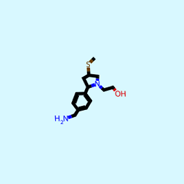 CSC1CC(c2ccc(CN)cc2)N(CCO)C1